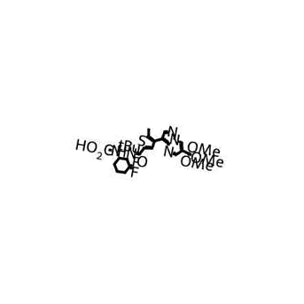 COC(OC)(OC)c1cnc2c(-c3cc(C(=O)N[C@@H]4[C@H](N(C(=O)O)C(C)(C)C)CCCC4(F)F)sc3C)cnn2c1